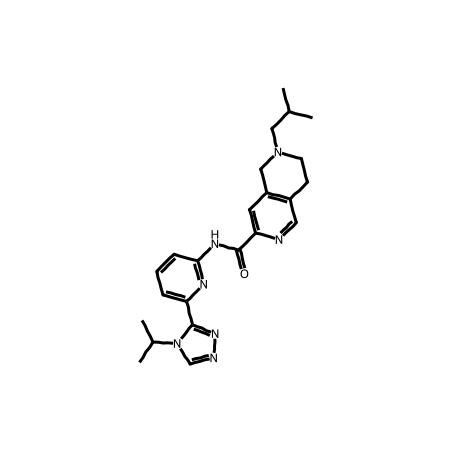 CC(C)CN1CCc2cnc(C(=O)Nc3cccc(-c4nncn4C(C)C)n3)cc2C1